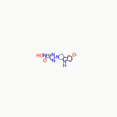 COc1ccc2[nH]c3c(c2c1)CCN(c1ncc(C(=O)NO)cn1)C3